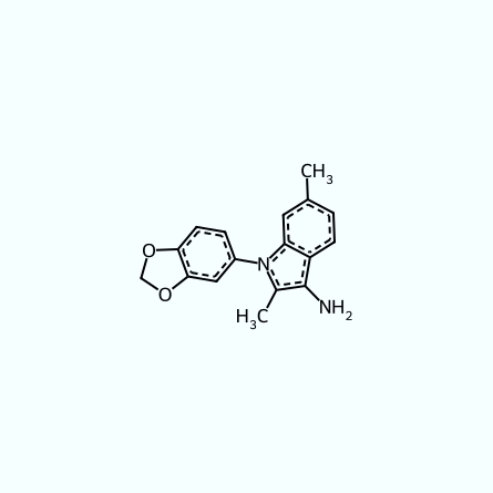 Cc1ccc2c(N)c(C)n(-c3ccc4c(c3)OCO4)c2c1